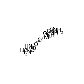 NC(=O)NC(=O)NC(=O)NCCOCCOCC(=O)NC(CO)C(N)=O